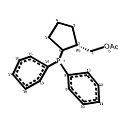 CC(=O)OC[C@H]1CCCC1P(c1ccccc1)c1ccccc1